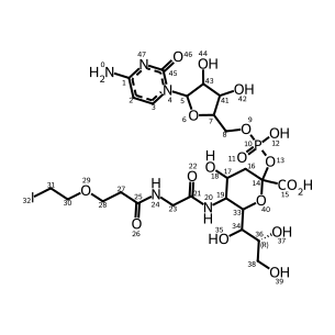 Nc1ccn(C2OC(COP(=O)(O)OC3(C(=O)O)CC(O)C(NC(=O)CNC(=O)CCOCCI)C(C(O)[C@H](O)CO)O3)C(O)C2O)c(=O)n1